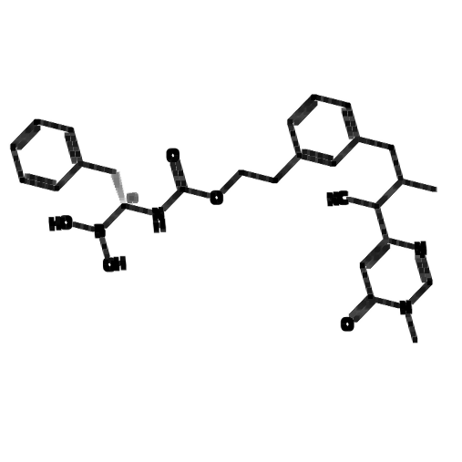 CC(Cc1cccc(CCOC(=O)N[C@@H](Cc2ccccc2)B(O)O)c1)C(C#N)c1cc(=O)n(C)cn1